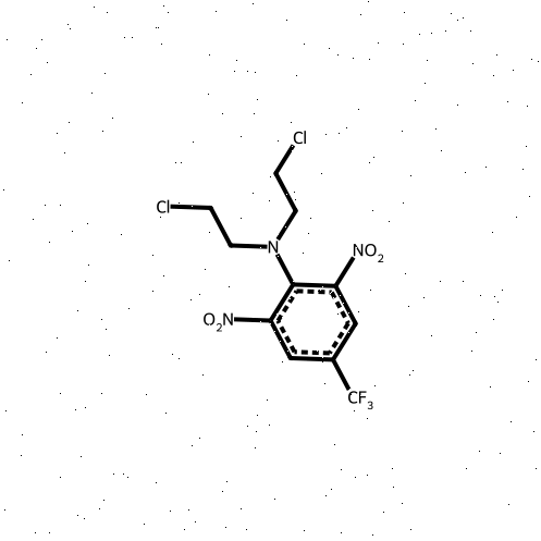 O=[N+]([O-])c1cc(C(F)(F)F)cc([N+](=O)[O-])c1N(CCCl)CCCl